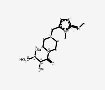 C/N=c1\scc(CN2CCN(C(=O)[C@H](N(C(=O)O)C(C)(C)C)C(C)(C)C)CC2)n1C